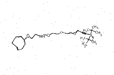 CC(C)(C)[Si](F)(C#CCOCCOCCOCNCCO[C@H]1CC/C=C/CCC1)C(C)(C)C